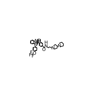 O=C(NCCCN1CCC(N2CCCCC2)CC1)c1ccc(S(=O)(=O)Nc2ccccc2Oc2ccc(OC(F)(F)F)cc2)cc1